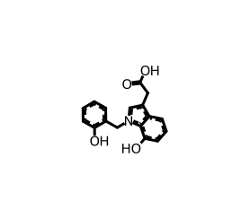 O=C(O)Cc1cn(Cc2ccccc2O)c2c(O)cccc12